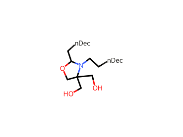 CCCCCCCCCCCCN1C(CCCCCCCCCCC)OCC1(CO)CO